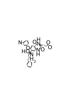 COC(=O)CC[C@H]1NC(=O)c2cc(Oc3cccc(N(C)C)c3)c([C@](N)(O)CCCc3ccccc3)cc2NC1=O